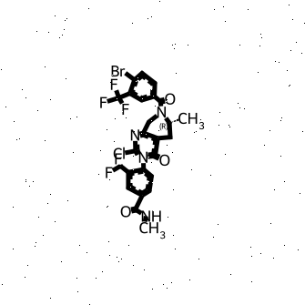 CNC(=O)c1ccc(-n2c(Cl)nc3c(c2=O)C[C@@H](C)N(C(=O)c2ccc(Br)c(C(F)(F)F)c2)C3)c(C(F)F)c1